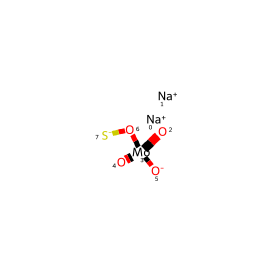 [Na+].[Na+].[O]=[Mo](=[O])([O-])[O][S-]